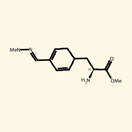 CN/N=C/C1=CCC(C[C@H](N)C(=O)OC)C=C1